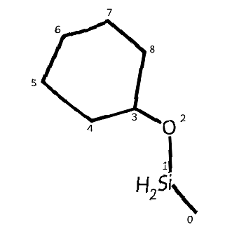 C[SiH2]OC1CCCCC1